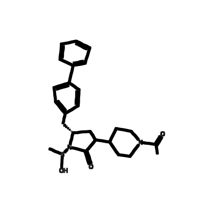 CB(O)N1C(=O)C(C2CCN(C(C)=O)CC2)C[C@H]1Cc1ccc(-c2ccccc2)cc1